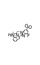 CC[C@@H]1[C@H](C)Nc2cccc3cc(-c4nc5cc(C(=O)OC)cc(F)c5n4C)n1c23